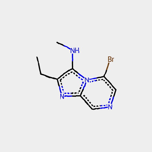 CCc1nc2cncc(Br)n2c1NC